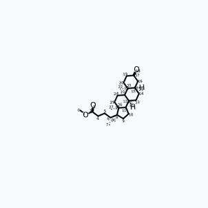 COC(=O)CC[C@@H](C)C1CCC2[C@@H]3CC[C@@H]4CC(=O)CC[C@]4(C)C3CC[C@@]21C